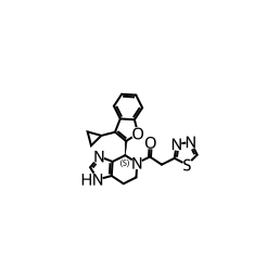 O=C(Cc1nncs1)N1CCc2[nH]cnc2[C@H]1c1oc2ccccc2c1C1CC1